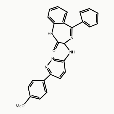 COc1ccc(-c2ccc(NC3N=C(c4ccccc4)c4ccccc4NC3=O)nn2)cc1